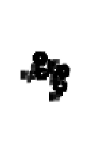 CC(C)N1CCN(c2cccc(C#N)c2NC(=O)N2CC[C@](C)(Oc3ccccc3)C2)CC1